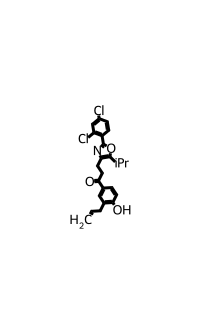 C=CCc1cc(C(=O)CCc2nc(-c3ccc(Cl)cc3Cl)oc2C(C)C)ccc1O